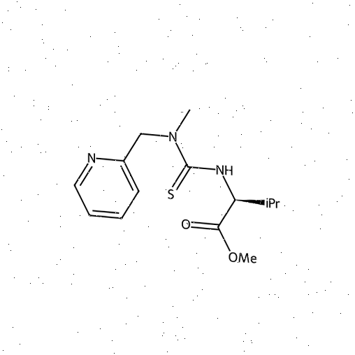 COC(=O)[C@@H](NC(=S)N(C)Cc1ccccn1)C(C)C